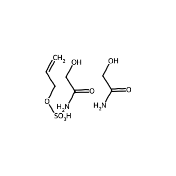 C=CCOS(=O)(=O)O.NC(=O)CO.NC(=O)CO